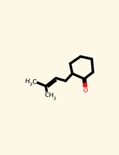 CC(C)=CCC1CCCCC1=O